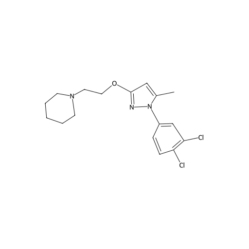 Cc1cc(OCCN2CCCCC2)nn1-c1ccc(Cl)c(Cl)c1